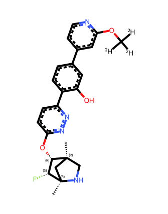 [2H]C([2H])([2H])Oc1cc(-c2ccc(-c3ccc(O[C@H]4[C@@H](F)[C@@]5(C)C[C@]4(C)CN5)nn3)c(O)c2)ccn1